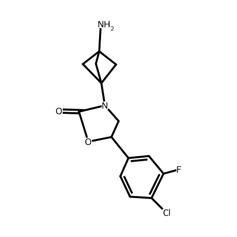 NC12CC(N3CC(c4ccc(Cl)c(F)c4)OC3=O)(C1)C2